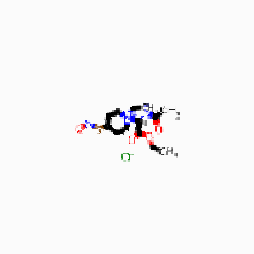 CCOC(=O)[C@H](NC(C)=O)[N+]1(CC)CCC(SN=O)CC1.[Cl-]